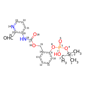 C[Si](C)(C)OP(=O)(O)Oc1ccccc1COC(=O)Nc1cccnc1C=O